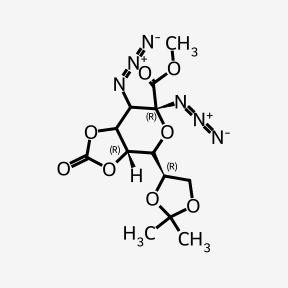 COC(=O)[C@]1(N=[N+]=[N-])OC([C@H]2COC(C)(C)O2)[C@@H]2OC(=O)OC2C1N=[N+]=[N-]